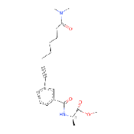 COC(=O)[C@@H](C)NC(=O)c1cccc(C#CCCCCCC(=O)N(C)C)c1